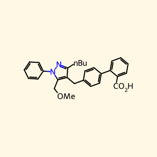 CCCCc1nn(-c2ccccc2)c(COC)c1Cc1ccc(-c2ccccc2C(=O)O)cc1